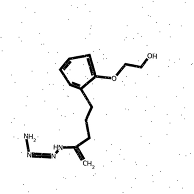 C=C(CCCc1ccccc1OCCO)N/N=N\N